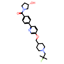 CC(C)(F)CN1CCC(COc2ccc(-c3ccc(C(=O)N4CC[C@H](O)C4)cc3)nc2)CC1